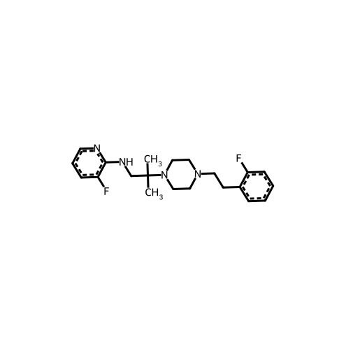 CC(C)(CNc1ncccc1F)N1CCN(CCc2ccccc2F)CC1